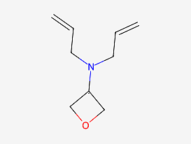 C=CCN(CC=C)[C]1COC1